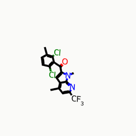 Cc1ccc(Cl)c(C(=O)c2cc3c(C)cc(C(F)(F)F)nc3n2C)c1Cl